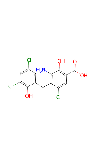 Nc1c(O)c(C(=O)O)cc(Cl)c1Cc1cc(Cl)cc(Cl)c1O